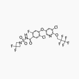 O=C(NS(=O)(=O)N1CC(F)(F)C1)c1cc(Cl)c(Oc2cnc(OCC(F)(F)C(F)(F)F)c(Cl)c2)cc1F